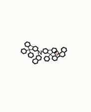 c1ccc(C2(c3ccccc3)c3ccccc3-c3ccc(N(c4ccc5c(c4)C(c4ccccc4)(c4cccc6c4oc4c7ccccc7ccc64)c4ccccc4-5)c4ccc5ccccc5c4)cc32)cc1